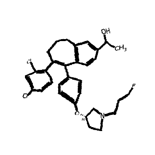 CC(O)c1ccc2c(c1)CCCC(c1ccc(Cl)cc1Cl)=C2c1ccc(O[C@H]2CCN(CCCF)C2)cc1